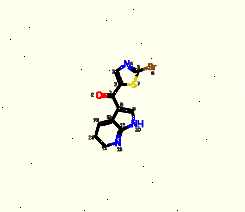 O=C(c1cnc(Br)s1)c1c[nH]c2c1=CCCN=2